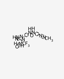 CN1CCN(c2ccc(NC(=O)Nc3ccc(-c4nc(C(N5C[C@H]6C[C@@H]5CO6)C(F)(F)F)c5cn[nH]c5n4)cc3)cc2)CC1